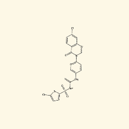 O=C(Nc1ccc(-n2cnc3cc(Cl)ccc3c2=O)nc1)NS(=O)(=O)c1ccc(Cl)s1